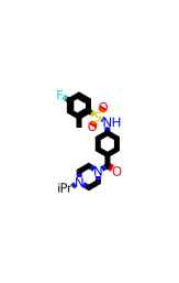 Cc1cc(F)ccc1S(=O)(=O)NC1CCC(C(=O)N2CCN(C(C)C)CC2)CC1